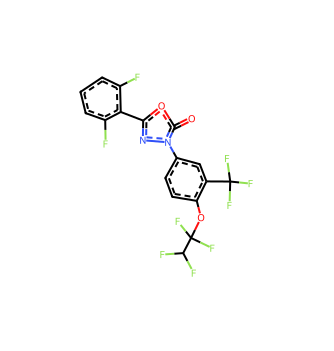 O=c1oc(-c2c(F)cccc2F)nn1-c1ccc(OC(F)(F)C(F)F)c(C(F)(F)F)c1